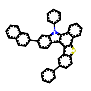 c1ccc(-c2ccc3sc4c5ccccc5c5c(c6ccc(-c7ccc8ccccc8c7)cc6n5-c5ccccc5)c4c3c2)cc1